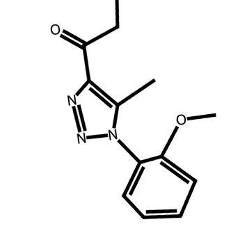 CCC(=O)c1nnn(-c2ccccc2OC)c1C